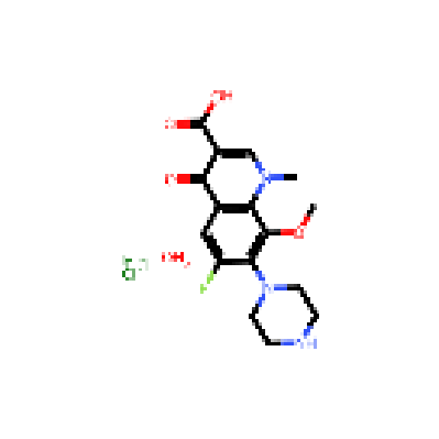 COc1c(N2CCNCC2)c(F)cc2c(=O)c(C(=O)O)cn(C)c12.Cl.Cl.O